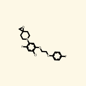 Fc1ccc(OCCOc2cc(N3CCC4(CC3)CO4)c(F)cc2Cl)cc1